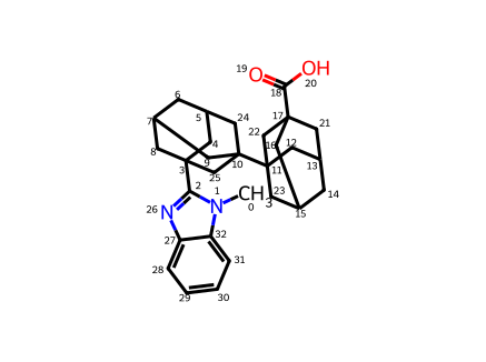 Cn1c(C23CC4CC(C2)CC(C25CC6CC(CC(C(=O)O)(C6)C2)C5)(C4)C3)nc2ccccc21